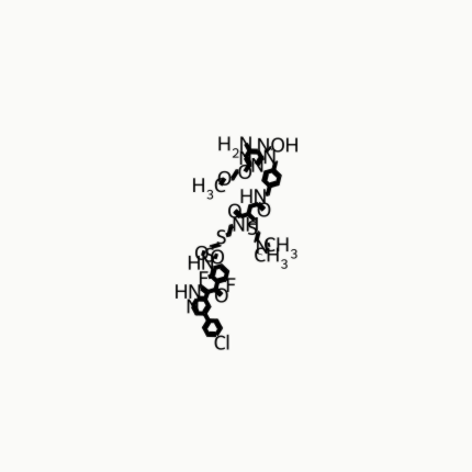 COCCOc1nc(N)c2nc(O)n(Cc3ccc(CNC(=O)CC(CSCCN(C)C)C(=O)NCCSCCS(=O)(=O)Nc4ccc(F)c(C(=O)c5c[nH]c6ncc(-c7ccc(Cl)cc7)cc56)c4F)cc3)c2n1